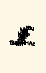 C=Nc1cc(C(C)(C)C)nn1/C(=N\C)N[C@H]1CCN([C@H]2CC[C@@H](NC(C)(C)C)C[C@H]2NC(C)=O)C1=O